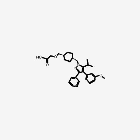 COc1cccc(-c2c(-c3ccccc3)nn(C[C@H]3CC[C@@H](COCC(=O)O)CC3)c2C(C)C)c1